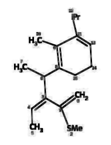 C=C(SC)/C(=C\C)C(C)C1=C(C)C(C(C)C)=CCC1